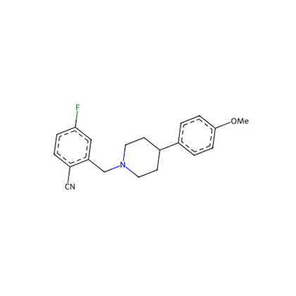 COc1ccc(C2CCN(Cc3cc(F)ccc3C#N)CC2)cc1